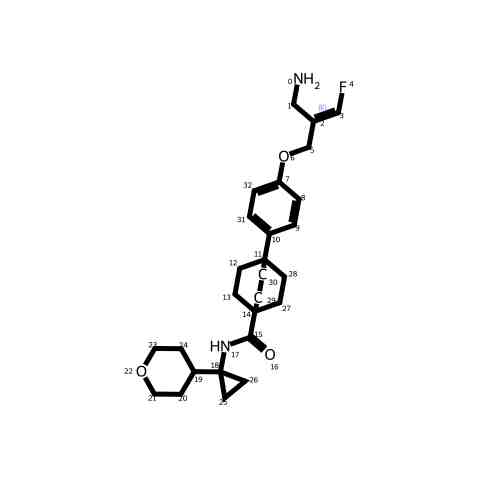 NC/C(=C\F)COc1ccc(C23CCC(C(=O)NC4(C5CCOCC5)CC4)(CC2)CC3)cc1